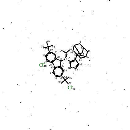 C[C](C)=[Zr+2]([C]1=C(C23CC4CC(CC(C4)C2)C3)C=CC1)[CH]1c2cc(C(C)(C)C)ccc2-c2ccc(C(C)(C)C)cc21.[Cl-].[Cl-]